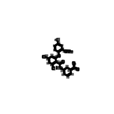 COc1cc(Cl)ccc1Oc1cc(Cl)cc(Cl)c1C(=O)NC1=CC=CC(=S(=O)=O)C1